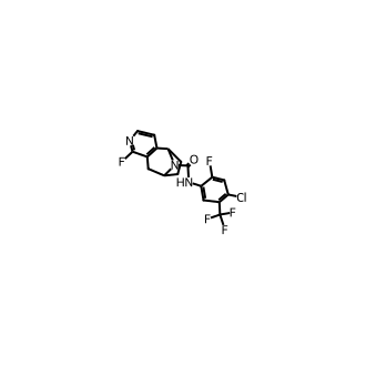 O=C(Nc1cc(C(F)(F)F)c(Cl)cc1F)N1C2CCC1c1ccnc(F)c1C2